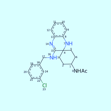 CC(=O)NC1CCC2(CC1)Nc1ccccc1N=C2NCc1cccc(Cl)c1